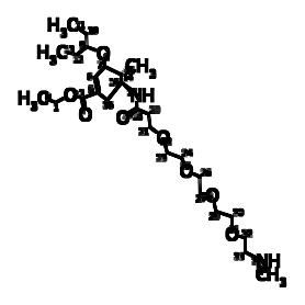 CCOC(=O)C1=C[C@@H](OC(CC)CC)[C@H](C)[C@@H](NC(=O)CCOCCOCCOCCOCCNC)C1